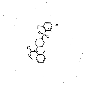 Cc1cccc2c1N(C1CCN(S(=O)(=O)c3cc(F)ccc3F)CC1)C(=O)OC2